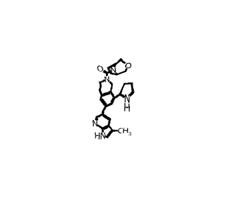 Cc1c[nH]c2ncc(-c3cc4c(c(C5CCCN5)c3)CN(C(=O)N3C5CCC3COC5)CC4)cc12